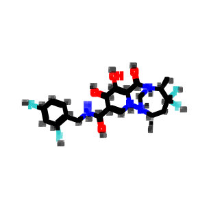 C[C@@H]1N2CN([C@@H](C)CC1(F)F)n1cc(C(=O)NCc3ccc(F)cc3F)c(=O)c(O)c1C2=O